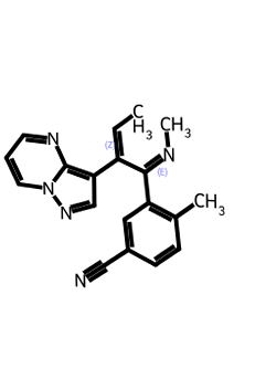 C/C=C(\C(=N/C)c1cc(C#N)ccc1C)c1cnn2cccnc12